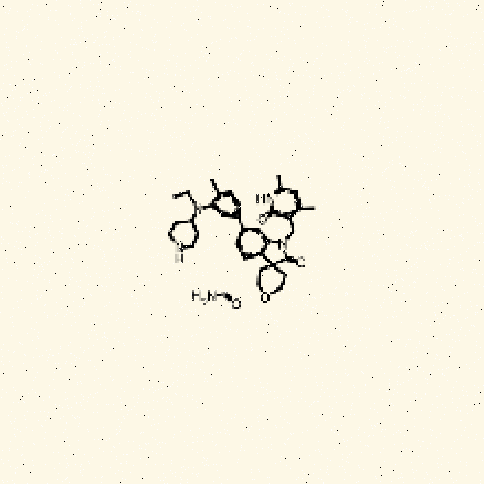 CCN(c1cc(-c2ccc3c(c2)N(Cc2c(C)cc(C)[nH]c2=O)C(=O)C32CCOCC2)ccc1C)C1CCNCC1.NC=O